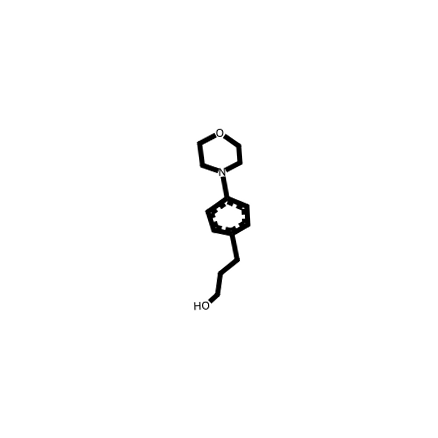 OCCCc1ccc(N2CCOCC2)cc1